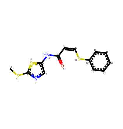 CSc1ncc(NC(=O)/C=C\Sc2ccccc2)s1